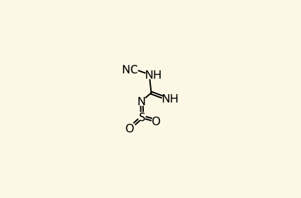 N#CNC(=N)N=S(=O)=O